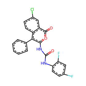 O=C(Nc1ccc(F)cc1F)Nc1oc(=O)c2cc(Cl)ccc2c1-c1ccccc1